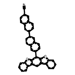 N#Cc1ccc2cc(-c3ccc4cc(-c5c6oc7ccccc7c6cc6c5oc5ccccc56)ccc4c3)ccc2c1